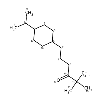 CC(C)C1CCC(CCCC(=O)C(C)(C)C)CC1